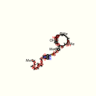 COCC(C)OCC(C)OCC(C)OCC(C)OCC(C)OCC(C)OCC(C)OCCOCC(C)OCC(C)N1C(=O)c2cccc3c(NCSCC(=O)OCCO[C@@H]4CC[C@@H](C[C@H](C)[C@@H]5CC(=O)[C@H](C)/C=C(\C)[C@@H](O)[C@@H](OC)C(=O)C(C)C[C@H](C)/C=C/C=C/C=C(\C)[C@@H](OC)C[C@@H]6CC[C@@H](C)[C@@](O)(O6)C(=O)CC6(C=O)CCCCC6C(=O)O5)C[C@H]4OC)ccc(c23)C1=O